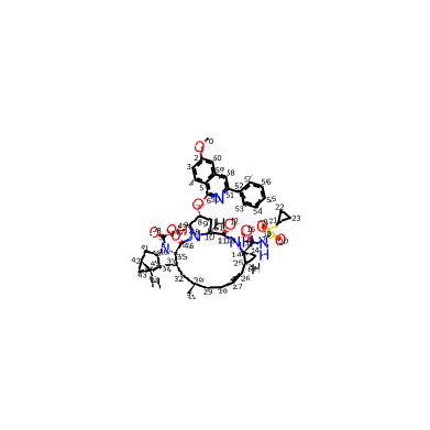 COc1ccc2c(O[C@@H]3C[C@H]4C(=O)N[C@]5(C(=O)NS(=O)(=O)C6CC6)C[C@H]5/C=C\CC[C@@H](C)C[C@@H](C)[C@H](N(C(=O)O)[C@H]5CC6C[C@H]6C5)C(=O)N4C3)nc(-c3ccccc3)cc2c1